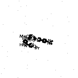 CO[C@@]1(C(=O)Nc2ccc3[nH]nc(-c4ccc(OC(C)C)nc4)c3c2)CCN(CC(=O)N2CC=C(c3ccc(-c4nc(C)n(C)n4)cc3)CC2)C1